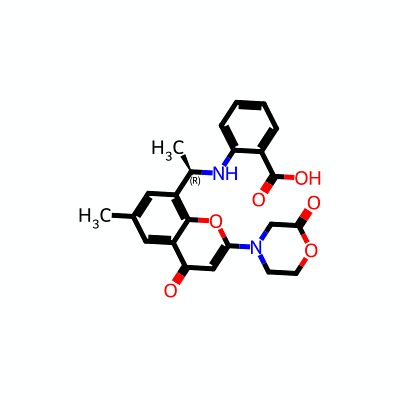 Cc1cc([C@@H](C)Nc2ccccc2C(=O)O)c2oc(N3CCOC(=O)C3)cc(=O)c2c1